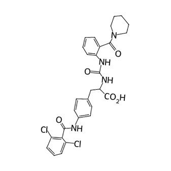 O=C(Nc1ccccc1C(=O)N1CCCCC1)NC(Cc1ccc(NC(=O)c2c(Cl)cccc2Cl)cc1)C(=O)O